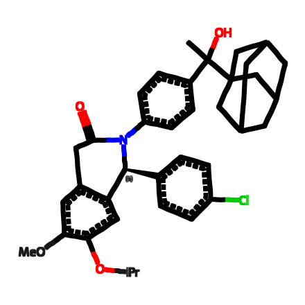 COc1cc2c(cc1OC(C)C)[C@H](c1ccc(Cl)cc1)N(c1ccc(C(C)(O)C34CC5CC(CC(C5)C3)C4)cc1)C(=O)C2